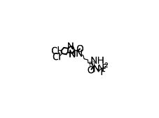 N[C@@H](CCCCNC(=O)c1cnc2cc(Cl)c(Cl)cc2n1)C(=O)N1CC(F)(F)C1